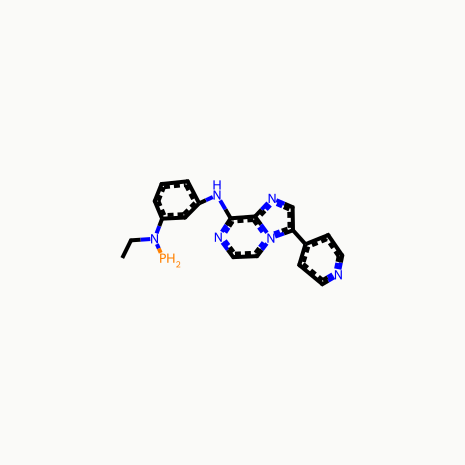 CCN(P)c1cccc(Nc2nccn3c(-c4ccncc4)cnc23)c1